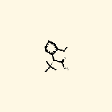 [CH2]C(C)(C)[C@@H](C(N)=O)c1ccccc1OC